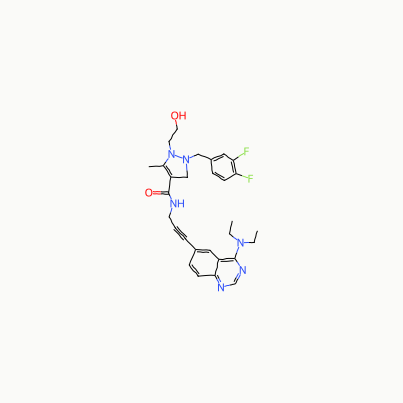 CCN(CC)c1ncnc2ccc(C#CCNC(=O)C3=C(C)N(CCO)N(Cc4ccc(F)c(F)c4)C3)cc12